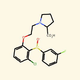 O=C(O)C1CCCN1CCOc1cccc(Cl)c1[S+]([O-])c1cccc(F)c1